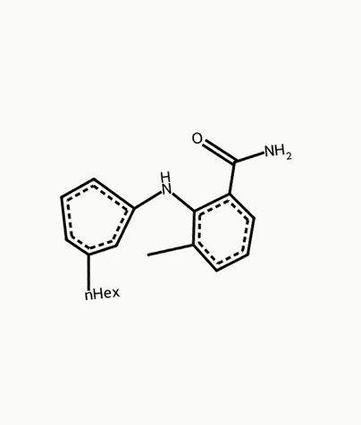 CCCCCCc1cccc(Nc2c(C)cccc2C(N)=O)c1